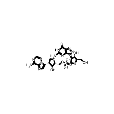 Nc1nc2c(nnn2[C@]2(OP(=O)(S)OC[C@H]3OC[C@@H](c4cnc5c(N)ncnn45)[C@@H]3O)CS[C@H](CO)[C@H]2O)c(=O)[nH]1